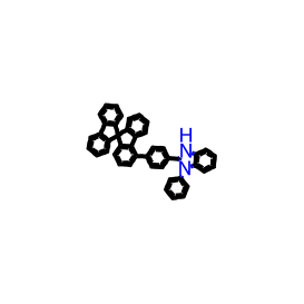 c1ccc(N2c3ccccc3NC2c2ccc(-c3cccc4c3-c3ccccc3C43c4ccccc4-c4ccccc43)cc2)cc1